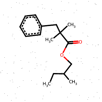 CCC(C)COC(=O)C(C)(C)Cc1ccccc1